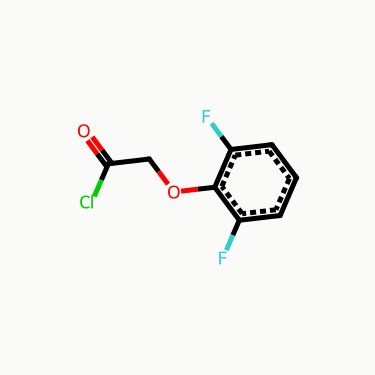 O=C(Cl)COc1c(F)cccc1F